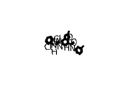 Cc1cccc(NC(=O)c2cc3nc(Nc4c(Cl)cccc4Cl)[nH]c3c3cc(C)oc23)c1